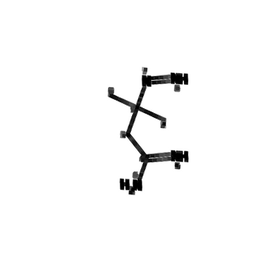 CC(C)(CC(=N)N)N=N